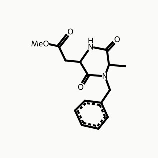 COC(=O)CC1NC(=O)C(C)N(Cc2ccccc2)C1=O